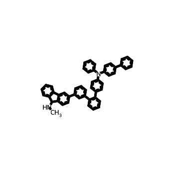 CNC1c2ccccc2-c2cc(-c3cccc(-c4ccccc4-c4ccc(N(c5ccccc5)c5ccc(-c6ccccc6)cc5)cc4)c3)ccc21